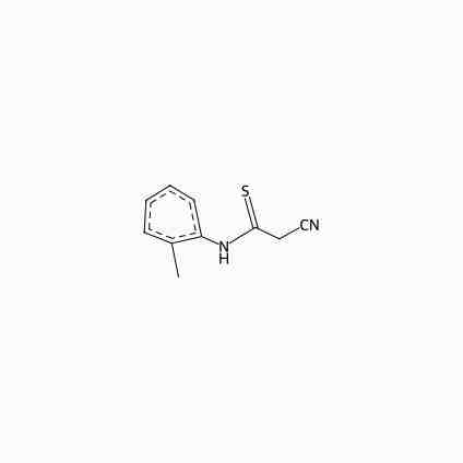 Cc1ccccc1NC(=S)CC#N